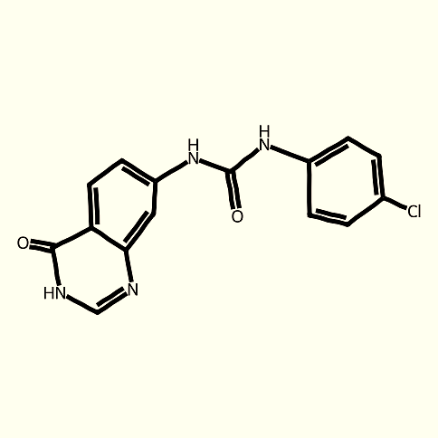 O=C(Nc1ccc(Cl)cc1)Nc1ccc2c(=O)[nH]cnc2c1